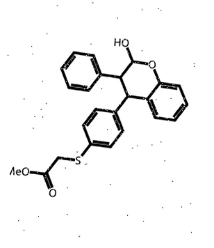 COC(=O)CSc1ccc(C2c3ccccc3OC(O)C2c2ccccc2)cc1